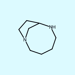 C1CCN2CCC(C2)NC1